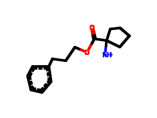 [NH]C1(C(=O)OCCCc2ccccc2)CCCC1